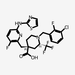 O=C(O)[C@]1(Cc2nc(Nc3nccs3)ccc2F)CCN(Cc2cccc(Cl)c2F)[C@H](C(F)(F)F)C1